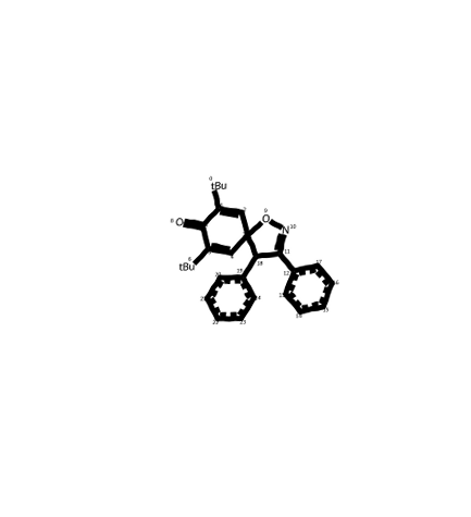 CC(C)(C)C1=CC2(C=C(C(C)(C)C)C1=O)ON=C(c1ccccc1)C2c1ccccc1